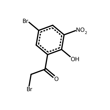 O=C(CBr)c1cc(Br)cc([N+](=O)[O-])c1O